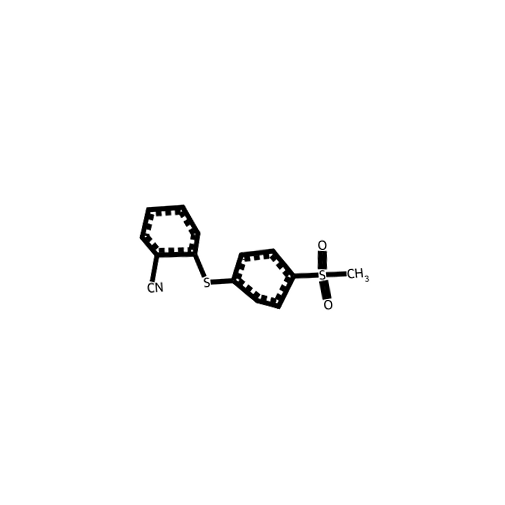 CS(=O)(=O)c1ccc(Sc2ccccc2C#N)cc1